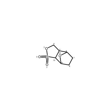 O=S1(=O)OCC2C3CCC(O3)C21